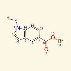 CCn1ccc2cc(C(=O)OBr)ccc21